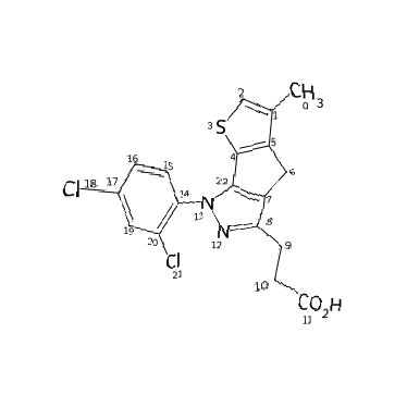 Cc1csc2c1Cc1c(CCC(=O)O)nn(-c3ccc(Cl)cc3Cl)c1-2